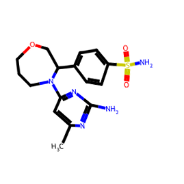 Cc1cc(N2CCCOCC2c2ccc(S(N)(=O)=O)cc2)nc(N)n1